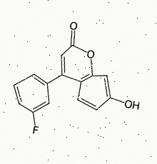 O=c1cc(-c2cccc(F)c2)c2ccc(O)cc2o1